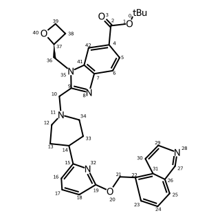 CC(C)(C)OC(=O)c1ccc2nc(CN3CCC(c4cccc(OCc5cccc6cnccc56)n4)CC3)n(C[C@@H]3CCO3)c2c1